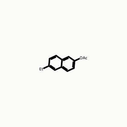 CCc1ccc2cc(OC(C)=O)ccc2c1